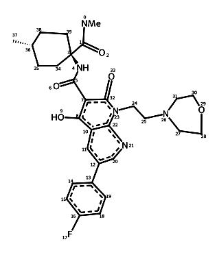 CNC(=O)[C@]1(NC(=O)c2c(O)c3cc(-c4ccc(F)cc4)cnc3n(CCN3CCOCC3)c2=O)CC[C@H](C)CC1